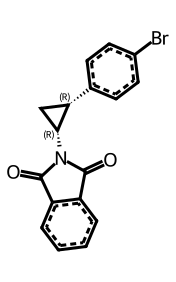 O=C1c2ccccc2C(=O)N1[C@@H]1C[C@@H]1c1ccc(Br)cc1